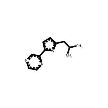 CC(C)Cc1ccc(-c2cnccn2)s1